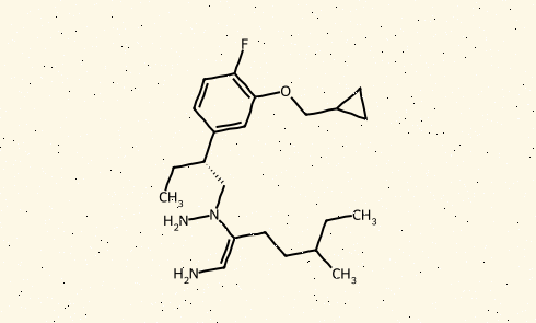 CCC(C)CC/C(=C/N)N(N)C[C@H](CC)c1ccc(F)c(OCC2CC2)c1